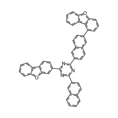 c1ccc2cc(-c3nc(-c4ccc5cc(-c6cccc7oc8ccccc8c67)ccc5c4)nc(-c4ccc5c(c4)oc4ccccc45)n3)ccc2c1